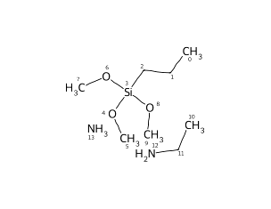 CCC[Si](OC)(OC)OC.CCN.N